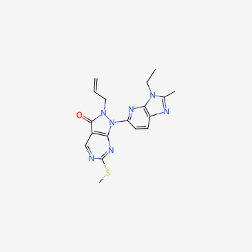 C=CCn1c(=O)c2cnc(SC)nc2n1-c1ccc2nc(C)n(CC)c2n1